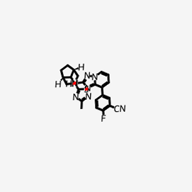 Cc1nsc(N2C[C@H]3CC[C@@H](C2)C3Nc2nc3c(-c4ccc(F)c(C#N)c4)cccn3n2)n1